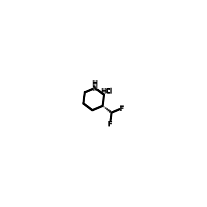 Cl.FC(F)[C@@H]1CCCNC1